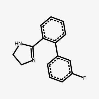 Fc1cccc(-c2ccccc2C2=NCCN2)c1